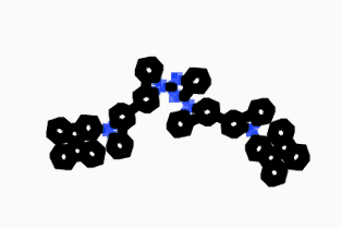 c1ccc2c(c1)-c1ccccc1C21c2ccccc2-c2ccc(-n3c4ccccc4c4cc(-c5ccc6c(c5)c5ccccc5n6-c5nc(-n6c7ccccc7c7cc(-c8ccc9c(c8)c8ccccc8n9-c8ccc9c(c8)C8(c%10ccccc%10-c%10ccccc%108)c8ccccc8-9)ccc76)c6ccccc6n5)ccc43)cc21